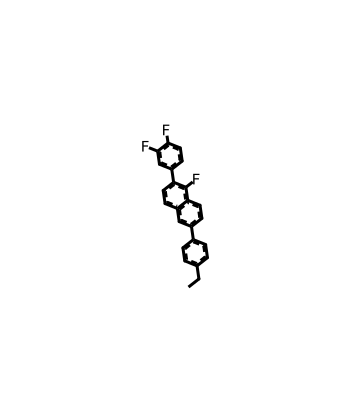 CCc1ccc(-c2ccc3c(F)c(-c4ccc(F)c(F)c4)ccc3c2)cc1